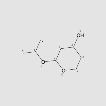 CC(C)OC1CC(O)CCO1